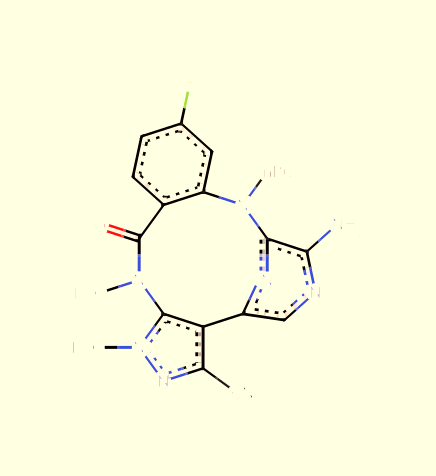 CCCCN1c2cc(F)ccc2C(=O)N(C)c2c(c(C#N)nn2C)-c2cnc(N)c1n2